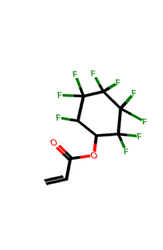 C=CC(=O)OC1C(F)C(F)(F)C(F)(F)C(F)(F)C1(F)F